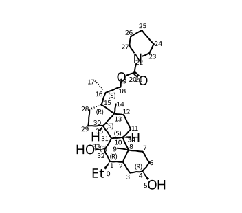 CC[C@@H]1C2C[C@H](O)CCC2(C)[C@H]2CCC3(C)[C@@H]([C@H](C)COC(=O)N4CCCCC4)CC[C@H]3C2[C@@H]1O